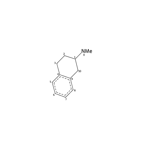 CNC1CCc2ccccc2C1